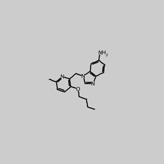 CCCCOc1ccc(C)nc1Cn1cnc2ccc(N)cc21